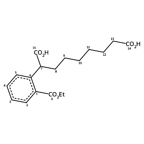 CCOC(=O)c1ccccc1C(CCCCCCC(=O)O)C(=O)O